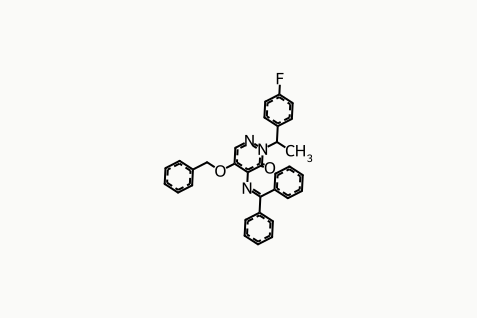 CC(c1ccc(F)cc1)n1ncc(OCc2ccccc2)c(N=C(c2ccccc2)c2ccccc2)c1=O